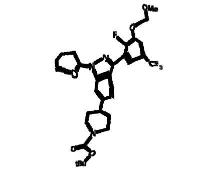 COCOc1cc(C(F)(F)F)cc(-c2nn(C3CCCCO3)c3cc(C4CCN(C(=O)OC(C)(C)C)CC4)ncc23)c1F